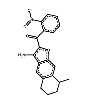 CC1CCCc2cc3c(N)c(C(=O)c4ccccc4[N+](=O)[O-])oc3cc21